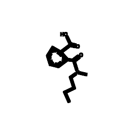 CCCCN(C)C(=O)c1ccccc1C(=O)O